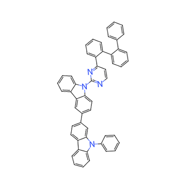 c1ccc(-c2ccccc2-c2ccccc2-c2ccnc(-n3c4ccccc4c4cc(-c5ccc6c7ccccc7n(-c7ccccc7)c6c5)ccc43)n2)cc1